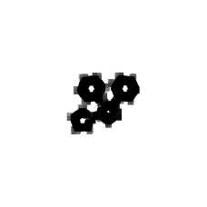 c1ccc(-c2ncc(N3CCCC3)n2-c2ccccc2)cc1